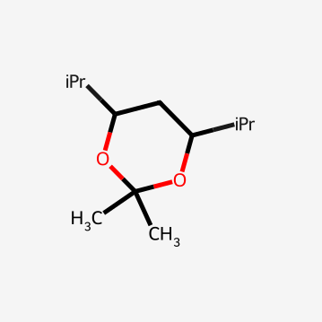 CC(C)C1CC(C(C)C)OC(C)(C)O1